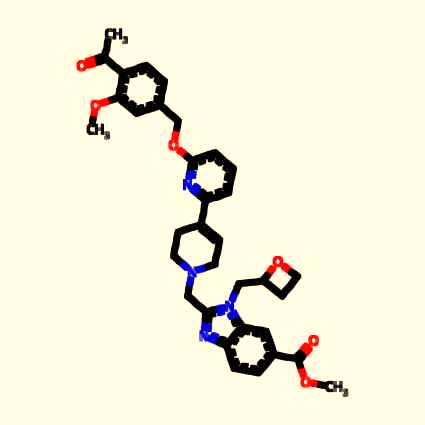 COC(=O)c1ccc2nc(CN3CC=C(c4cccc(OCc5ccc(C(C)=O)c(OC)c5)n4)CC3)n(CC3CCO3)c2c1